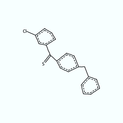 S=C(c1ccc(Cc2ccccc2)cc1)c1cccc(Cl)c1